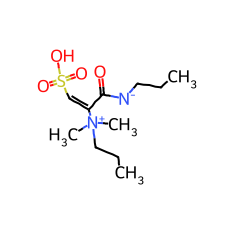 CCC[N-]C(=O)C(=CS(=O)(=O)O)[N+](C)(C)CCC